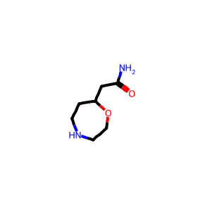 NC(=O)CC1CCNCCO1